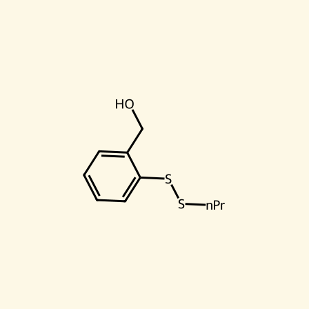 CCCSSc1ccccc1CO